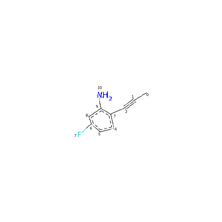 CC#Cc1ccc(F)cc1N